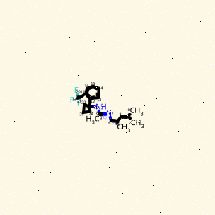 CC(C)=C/C(C)=C\N=C(/C)NC1(c2ccccc2C(F)(F)F)CCC1